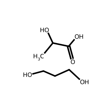 CC(O)C(=O)O.OCCCO